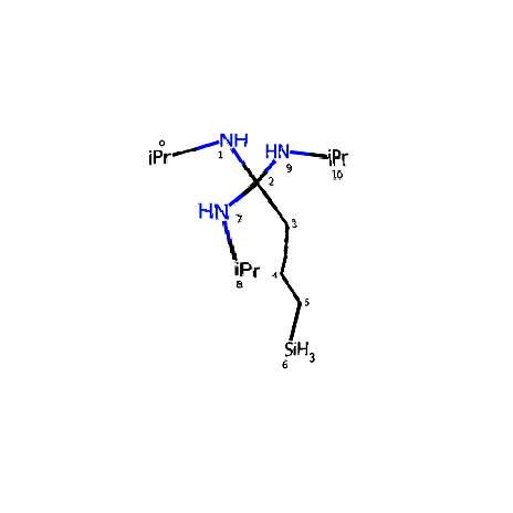 CC(C)NC(CCC[SiH3])(NC(C)C)NC(C)C